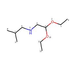 CCOC(CNCC(C)C)OCC